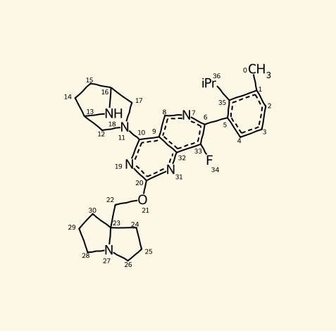 Cc1cccc(-c2ncc3c(N4CC5CCC(C4)N5)nc(OCC45CCCN4CCC5)nc3c2F)c1C(C)C